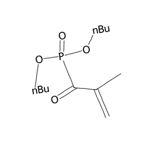 C=C(C)C(=O)P(=O)(OCCCC)OCCCC